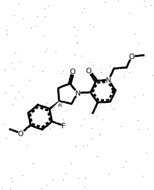 COCCn1ccc(C)c(N2C[C@@H](c3ccc(OC)cc3F)CC2=O)c1=O